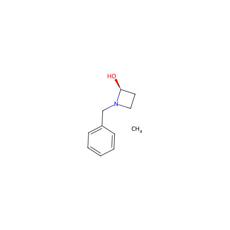 C.O[C@H]1CCN1Cc1ccccc1